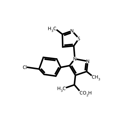 Cc1cc(-n2nc(C)c(C(C)C(=O)O)c2-c2ccc(Cl)cc2)sn1